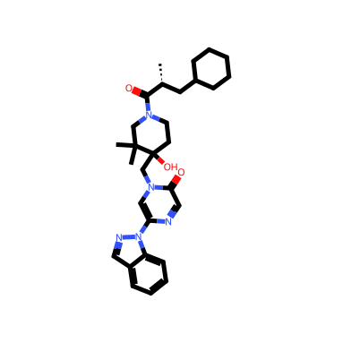 C[C@H](CC1CCCCC1)C(=O)N1CCC(O)(Cn2cc(-n3ncc4ccccc43)ncc2=O)C(C)(C)C1